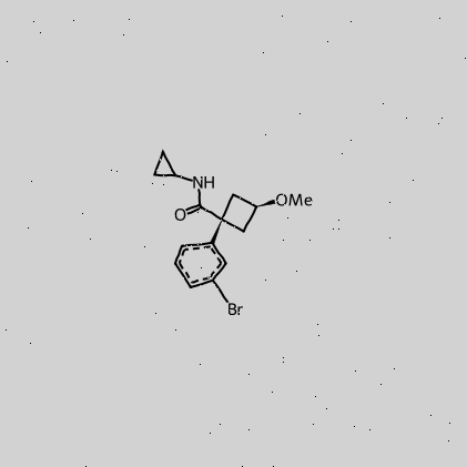 CO[C@H]1C[C@@](C(=O)NC2CC2)(c2cccc(Br)c2)C1